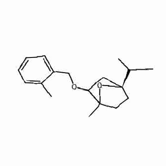 Cc1ccccc1COC1C[C@]2(C(C)C)CCC1(C)O2